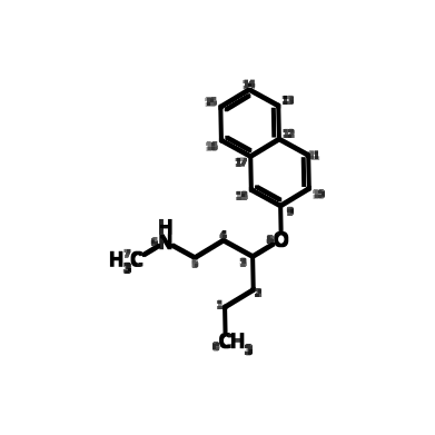 CCCC(CCNC)Oc1ccc2ccccc2c1